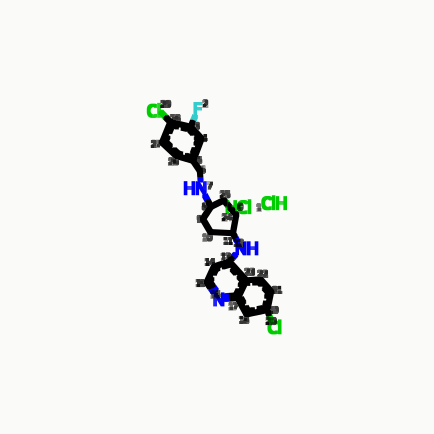 Cl.Cl.Fc1cc(CNC2CCC(Nc3ccnc4cc(Cl)ccc34)CC2)ccc1Cl